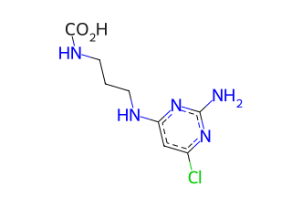 Nc1nc(Cl)cc(NCCCNC(=O)O)n1